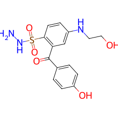 NNS(=O)(=O)c1ccc(NCCO)cc1C(=O)c1ccc(O)cc1